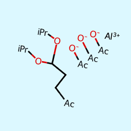 CC(=O)CCC(OC(C)C)OC(C)C.CC(=O)[O-].CC(=O)[O-].CC(=O)[O-].[Al+3]